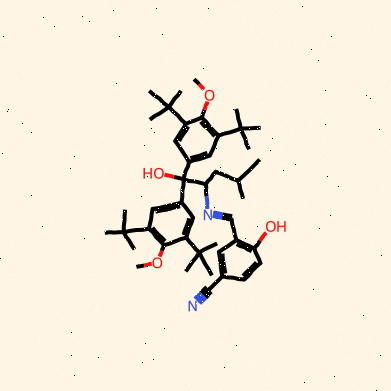 COc1c(C(C)(C)C)cc(C(O)(c2cc(C(C)(C)C)c(OC)c(C(C)(C)C)c2)C(CC(C)C)N=Cc2cc(C#N)ccc2O)cc1C(C)(C)C